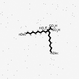 CCCCCCCCCCCCCCCCCCC(CCCCCCCCCCCCCCCCCC)(C(=O)O)C(C(=O)O)S(=O)(=O)O